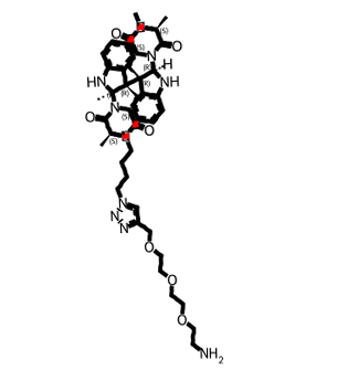 CN1C(=O)[C@@]23C[C@]4([C@]56C[C@@]78SS[C@@](C)(C(=O)N7[C@@]5(C)Nc5ccccc56)N(CCCCn5cc(COCCOCCOCCN)nn5)C8=O)c5ccccc5N[C@@H]4N2C(=O)[C@]1(C)SS3